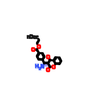 CCCCCCCCCCCCOC(=O)c1ccc(/C(N)=C2/C(=O)Oc3ccccc3C2=O)cc1